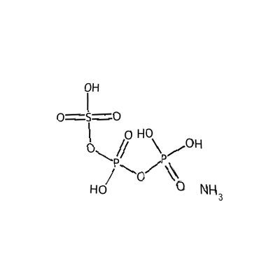 N.O=P(O)(O)OP(=O)(O)OS(=O)(=O)O